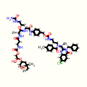 Cc1ccc(C(=O)N(CCCNC(=O)OCc2ccc(NC(=O)[C@@H](CCCNC(N)=O)NC(=O)[C@H](NC(=O)CCNC(=O)OCC(O)OC(CO)CC(C)(C)CC(C)C)C(C)C)cc2)[C@@H](c2nc3cc(Cl)ccc3c(=O)n2Cc2ccccc2)C(C)C)cc1